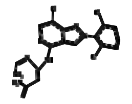 C=C(N)/C=C(\N=C/N)Nc1ncc(Cl)c2nn(-c3c(Cl)cccc3Cl)cc12